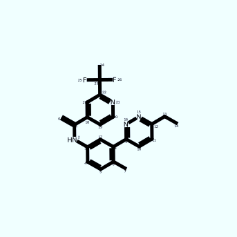 C=C(Nc1ccc(C)c(-c2ccc(CC)nn2)c1)c1ccnc(C(C)(F)F)c1